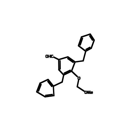 COCOc1c(Cc2ccccc2)cc(C=O)cc1Cc1ccccc1